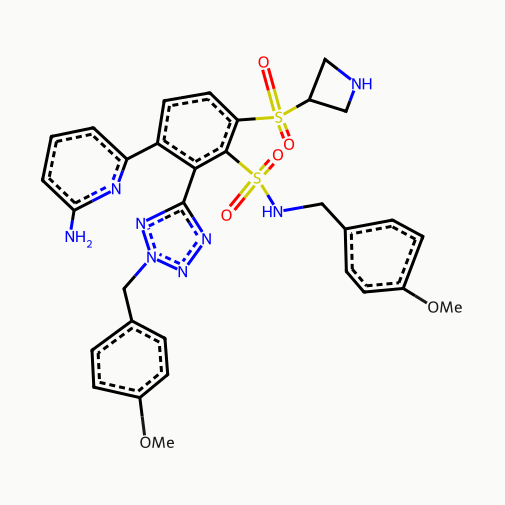 COc1ccc(CNS(=O)(=O)c2c(S(=O)(=O)C3CNC3)ccc(-c3cccc(N)n3)c2-c2nnn(Cc3ccc(OC)cc3)n2)cc1